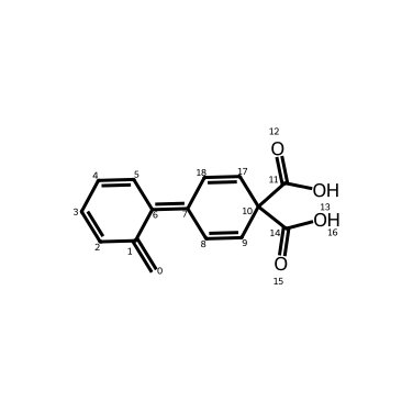 C=c1ccccc1=C1C=CC(C(=O)O)(C(=O)O)C=C1